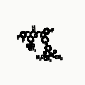 C=CC(=O)N1CC(C)(C)Oc2cc(N3CCC4(CC3)C[C@@H](CC(=O)N[C@@H](Cc3ccc(F)c(F)c3)C3CCN(S(C)(=O)=O)CC3)c3ccc(F)cc34)ccc21